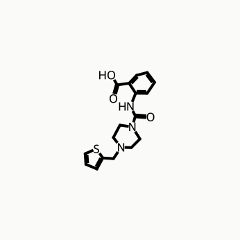 O=C(O)c1ccccc1NC(=O)N1CCN(Cc2cccs2)CC1